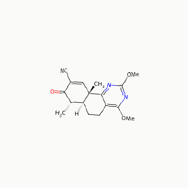 COc1nc(OC)c2c(n1)[C@@]1(C)C=C(C#N)C(=O)[C@@H](C)[C@@H]1CC2